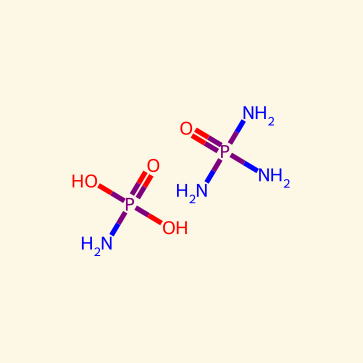 NP(=O)(O)O.NP(N)(N)=O